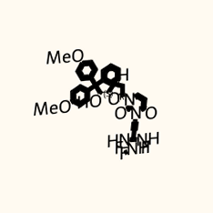 COc1ccc(C(c2ccccc2)(c2ccc(OC)cc2)C(O)[C@H]2O[C@@H](n3ccc(=O)n(C#CC(NF)(NF)NF)c3=O)C[C@@H]2O)cc1